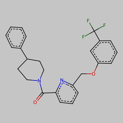 O=C(c1cccc(COc2cccc(C(F)(F)F)c2)n1)N1CCC(c2ccccc2)CC1